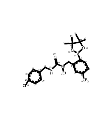 CCN(Cc1cc(C(F)(F)F)ccc1B1OC(C)(C)C(C)(C)O1)C(=O)NCc1ccc(Cl)cc1